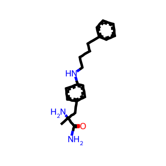 CC(N)(Cc1ccc(NCCCCc2ccccc2)cc1)C(N)=O